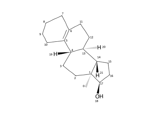 C[C@]12CC[C@@H]3C4=C(CCCC4)CC[C@H]3[C@@H]1CC[C@H]2O